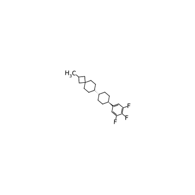 CC1CC2(CCC([C@H]3CC[C@H](c4cc(F)c(F)c(F)c4)CC3)CC2)C1